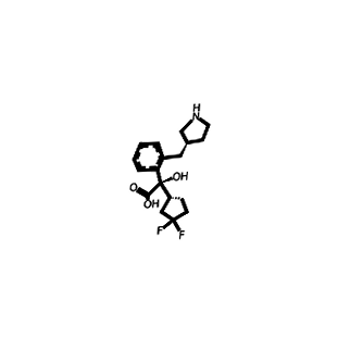 O=C(O)[C@](O)(c1ccccc1C[C@@H]1CCNC1)[C@@H]1CCC(F)(F)C1